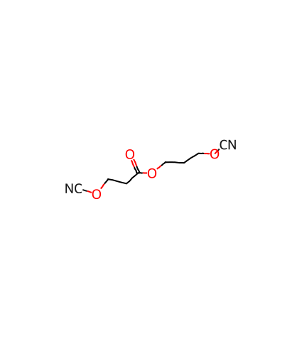 N#COCCCOC(=O)CCOC#N